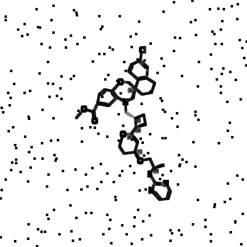 COC(=O)c1ccc2c(c1)N(C[C@@H]1CC[C@H]1[C@H]1C[C@@H](OC[C@@H](C)Sc3ncccn3)CCO1)C[C@@]1(CCCc3cc(Cl)ccc31)CO2